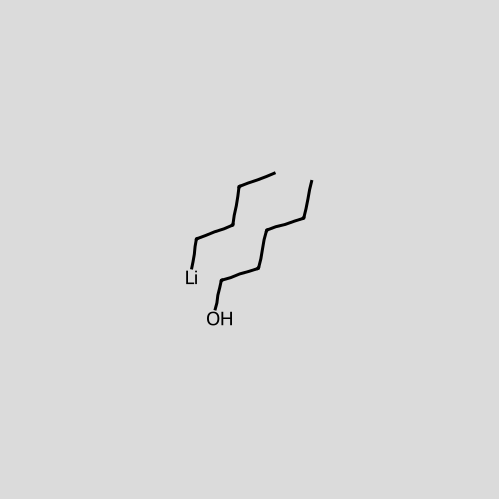 CCCCCO.[Li][CH2]CCC